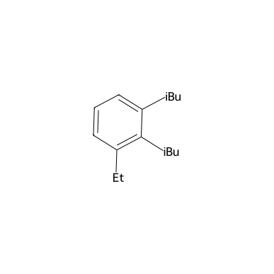 CCc1cccc(C(C)CC)c1C(C)CC